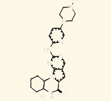 CN1CCN(c2ccc(Nc3ncc4cc5n(c4n3)C3CCCC[C@@H]3NC5=O)nc2)CC1